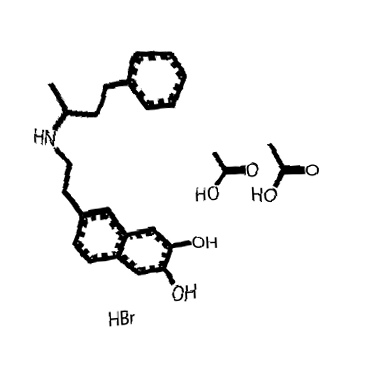 Br.CC(=O)O.CC(=O)O.CC(CCc1ccccc1)NCCc1ccc2cc(O)c(O)cc2c1